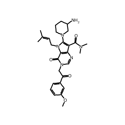 COc1cccc(C(=O)Cn2cnc3c(C(=O)N(C)C)c(N4CCCC(N)C4)n(CC=C(C)C)c3c2=O)c1